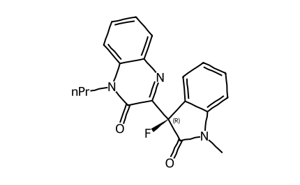 CCCn1c(=O)c([C@@]2(F)C(=O)N(C)c3ccccc32)nc2ccccc21